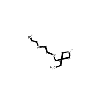 CCC1(COCCOCCBr)COC1